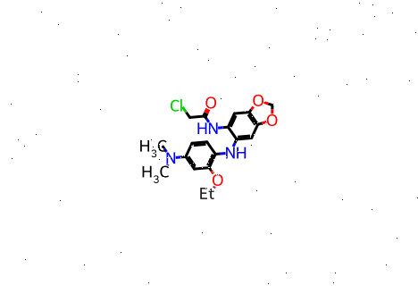 CCOc1cc(N(C)C)ccc1Nc1cc2c(cc1NC(=O)CCl)OCO2